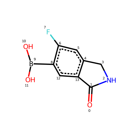 O=C1NCc2cc(F)c(B(O)O)cc21